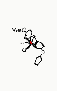 COC1CCC2(CC1)Cc1ccc(OC3CCCC3)cc1C21NC(=O)N(C)C1=O